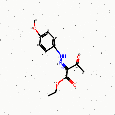 CCOC(=O)/C(=N/Nc1ccc(OC)cc1)C(C)=O